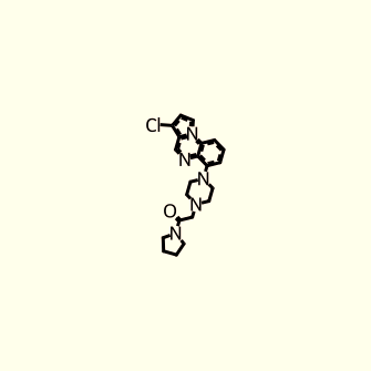 O=C(CN1CCN(c2cccc3c2ncc2c(Cl)ccn23)CC1)N1CCCC1